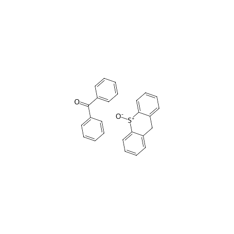 O=C(c1ccccc1)c1ccccc1.[O-][S+]1c2ccccc2Cc2ccccc21